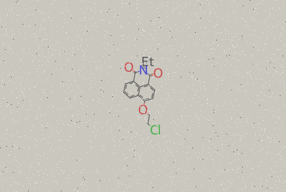 CCN1C(=O)c2cccc3c(OCCCl)ccc(c23)C1=O